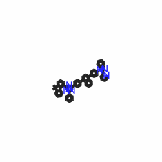 CC1(C)c2ccccc2-c2c(-c3nc(-c4ccccc4)nc(-c4ccc(-c5ccc(-c6ccc(-n7c(-c8ccccn8)nc8ccccc87)cc6)c6ccccc56)cc4)n3)cccc21